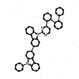 c1ccc(-c2ccccc2-c2ccccc2-c2ccnc(-n3c4ccccc4c4cc(-c5ccc6c(c5)c5ccccc5n6-c5ccccc5)ccc43)n2)cc1